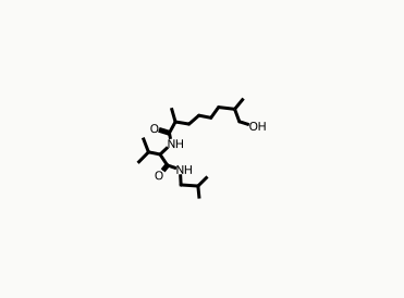 CC(C)CNC(=O)C(NC(=O)C(C)CCCCC(C)CO)C(C)C